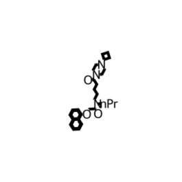 CCCN(CCCCC(=O)N1CCN(C2CCC2)CC1)C(=O)COc1cccc2ccccc12